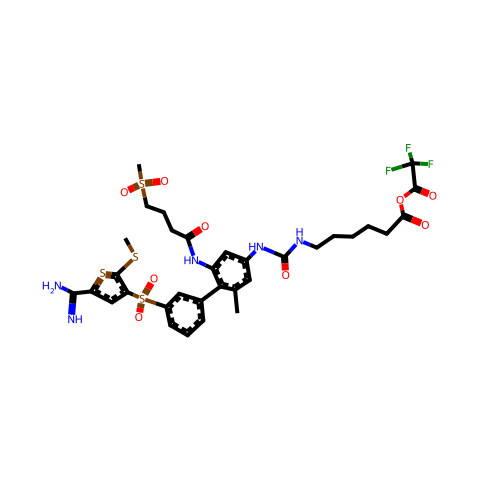 CSc1sc(C(=N)N)cc1S(=O)(=O)c1cccc(-c2c(C)cc(NC(=O)NCCCCCC(=O)OC(=O)C(F)(F)F)cc2NC(=O)CCCS(C)(=O)=O)c1